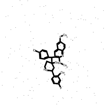 COc1nc2ccc(SC)cc2cc1C(c1ccc(Cl)cc1)C1(O)CCNC(c2ccc(F)cc2C)C1